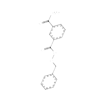 COC(=O)c1cccc(C(=O)OOCc2ccccc2)c1